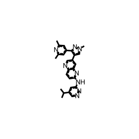 Cc1cc(-c2nn(C)cc2-c2cnc3ccc(Nc4cc(C(C)C)cnn4)nc3c2)cc(C)n1